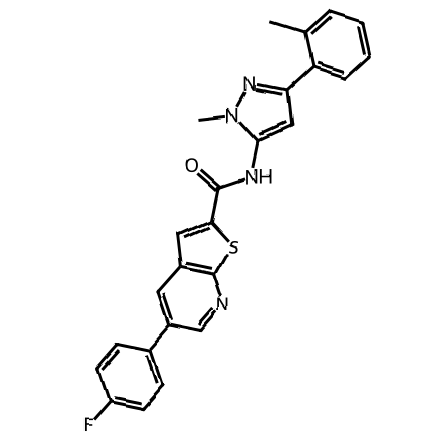 Cc1ccccc1-c1cc(NC(=O)c2cc3cc(-c4ccc(F)cc4)cnc3s2)n(C)n1